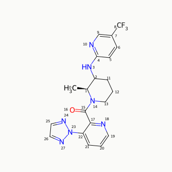 C[C@H]1C(Nc2ccc(C(F)(F)F)cn2)CCCN1C(=O)c1ncccc1-n1nccn1